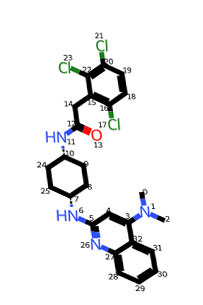 CN(C)c1cc(N[C@H]2CC[C@@H](NC(=O)Cc3c(Cl)ccc(Cl)c3Cl)CC2)nc2ccccc12